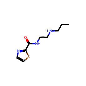 CCCNCCNC(=O)c1nccs1